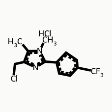 Cc1c(CCl)nc(-c2ccc(C(F)(F)F)cc2)n1C.Cl